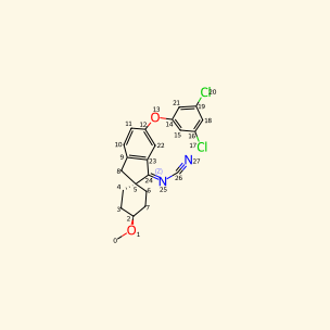 CO[C@H]1CC[C@]2(CC1)Cc1ccc(Oc3cc(Cl)cc(Cl)c3)cc1/C2=N\C#N